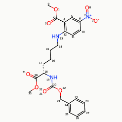 COC(=O)c1cc([N+](=O)[O-])ccc1NCCCC[C@H](NC(=O)OCc1ccccc1)C(=O)OC